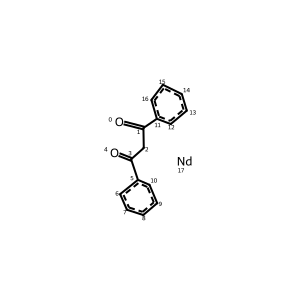 O=C(CC(=O)c1ccccc1)c1ccccc1.[Nd]